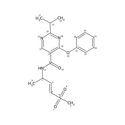 CC(C=CS(C)(=O)=O)NC(=O)c1cnc(C(C)C)nc1Oc1ccccc1